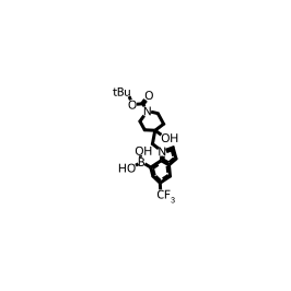 CC(C)(C)OC(=O)N1CCC(O)(Cn2ccc3cc(C(F)(F)F)cc(B(O)O)c32)CC1